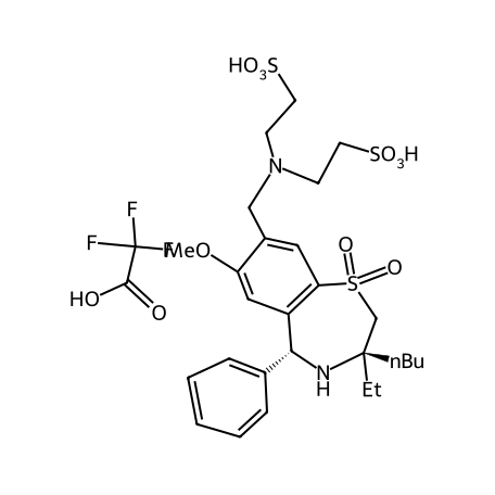 CCCC[C@]1(CC)CS(=O)(=O)c2cc(CN(CCS(=O)(=O)O)CCS(=O)(=O)O)c(OC)cc2[C@@H](c2ccccc2)N1.O=C(O)C(F)(F)F